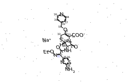 CCO/N=C(\C(=O)N[C@@H]1C(=O)N2C(C(=O)[O-])=C(OCc3ccncc3)CS[C@@H]12)c1csc(N)n1.[Na+]